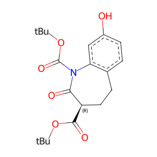 CC(C)(C)OC(=O)[C@@H]1CCc2ccc(O)cc2N(C(=O)OC(C)(C)C)C1=O